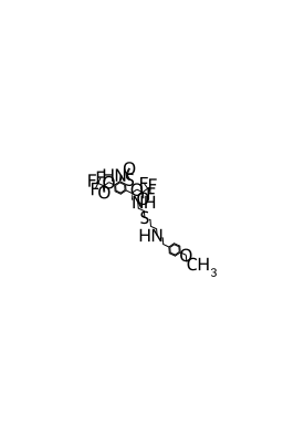 CCOc1ccc(CCNCCCSCCNC[C@H](OC(=O)C(F)(F)F)c2ccc(OC(=O)C(F)(F)F)c3[nH]c(=O)sc23)cc1